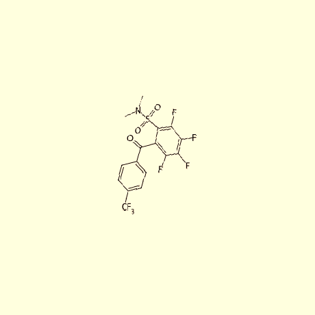 CN(C)S(=O)(=O)c1c(F)c(F)c(F)c(F)c1C(=O)c1ccc(C(F)(F)F)cc1